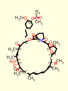 CO[C@H]1C[C@@H]2CC[C@@H](C)[C@@](O)(O2)C(=O)C(=O)N2CCCC[C@H]2C(=O)O[C@@H](CCC[C@H]2CC[C@@H](OP(C)(C)=O)[C@H](OC)C2)CC(=O)[C@H](C)/C=C(\C)[C@@H](O)[C@@H](OC)C(=O)[C@H](C)C[C@H](C)/C=C/C=C/C=C\1C